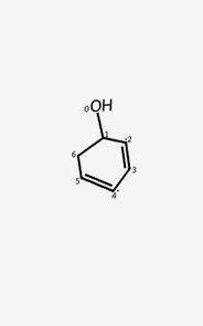 OC1[C]=C[C]=CC1